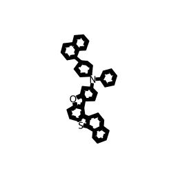 c1ccc(N(c2ccc(-c3cccc4ccccc34)cc2)c2ccc3c(c2)oc2ccc4sc5c6ccccc6ccc5c4c23)cc1